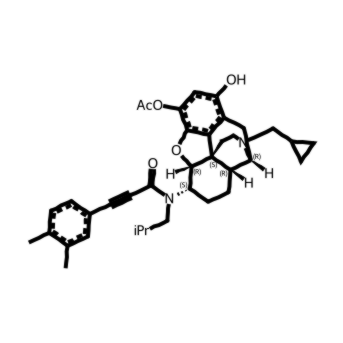 CC(=O)Oc1cc(O)c2c3c1O[C@H]1[C@@H](N(CC(C)C)C(=O)C#Cc4ccc(C)c(C)c4)CC[C@H]4[C@@H](C2)N(CC2CC2)CC[C@@]341